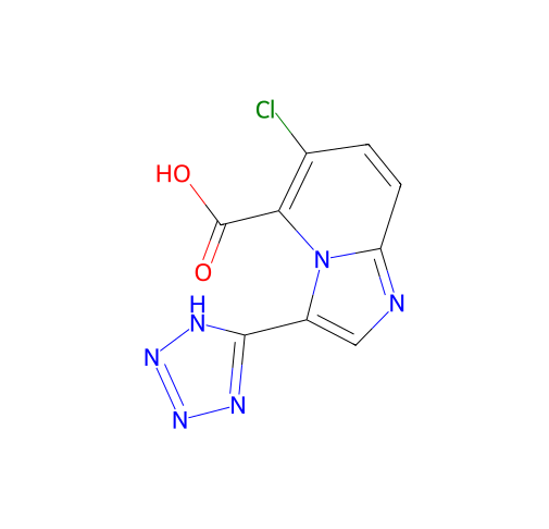 O=C(O)c1c(Cl)ccc2ncc(-c3nnn[nH]3)n12